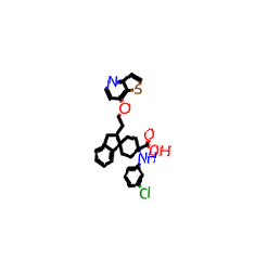 O=C(O)C1(Nc2cccc(Cl)c2)CCC2(CC1)c1ccccc1CC2CCOc1ccnc2ccsc12